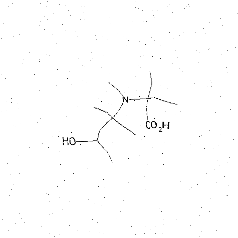 CC(O)C(C)(C)N(C)C(C)(C)C(=O)O